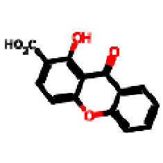 O=C(O)c1ccc2oc3ccccc3c(=O)c2c1O